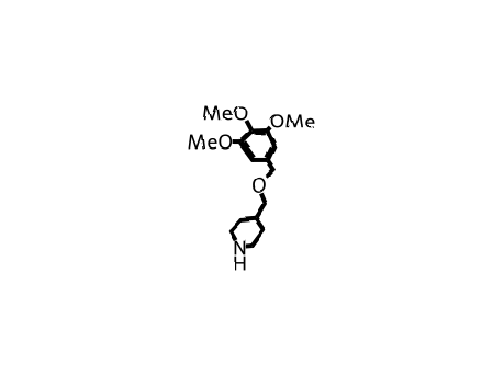 COc1cc(COCC2CCNCC2)cc(OC)c1OC